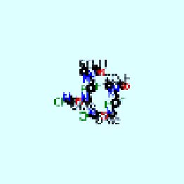 COc1cc(Cl)ncc1COc1cccc(-c2cc(F)c(Cc3nc4ccc(C(=O)O)cc4n3C3COCC3(C)C)cc2F)n1.COc1cc(Cl)ncc1COc1cccc(-c2cc(F)c(Cc3nc4ccc(C(=O)O)cc4n3C3COCC3(C)C)cc2F)n1